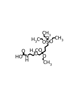 CCOC(CCC[Si](OCC)(OCC)OCC)(COCCNC(=O)O)OC